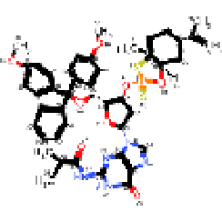 C=C(C)[C@H]1CC[C@@]2(C)S[P@@](=S)(O[C@H]3C[C@H](n4cnc5c(=O)[nH]c(NC(=O)C(C)C)nc54)O[C@@H]3COC(c3ccccc3)(c3ccc(OC)cc3)c3ccc(OC)cc3)O[C@@H]2C1